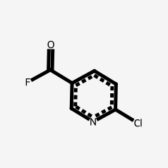 O=C(F)c1ccc(Cl)nc1